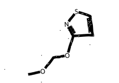 COCOc1ccsn1